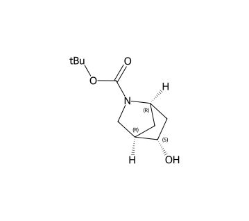 CC(C)(C)OC(=O)N1C[C@H]2C[C@@H]1C[C@@H]2O